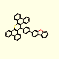 c1ccc2c(c1)oc1cc(-c3ccc(C4c5c(c6ccccc6c6ccccc56)Sc5c4c4ccccc4c4ccccc54)cc3)ccc12